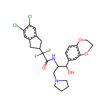 O=C(NC(CN1CCCC1)C(O)c1ccc2c(c1)OCCO2)C(F)(F)C1Cc2cc(Cl)c(Cl)cc2C1